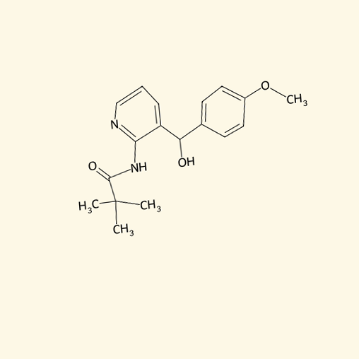 COc1ccc(C(O)c2cccnc2NC(=O)C(C)(C)C)cc1